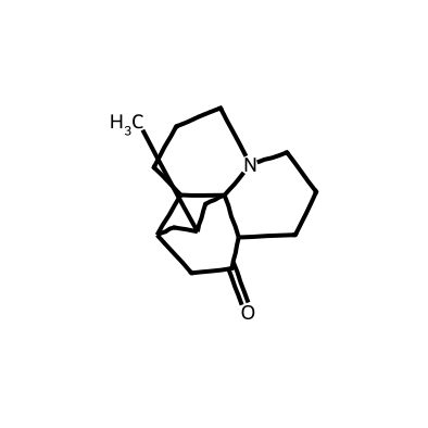 CC1CC2CC(=O)C3CCCN4CCCC2C34C1